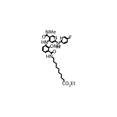 CCOC(=O)CCCCCCCCCNC(=O)c1cccc(Nc2cc(Nc3ccc(F)cn3)ncc2C(=O)NC)c1OC